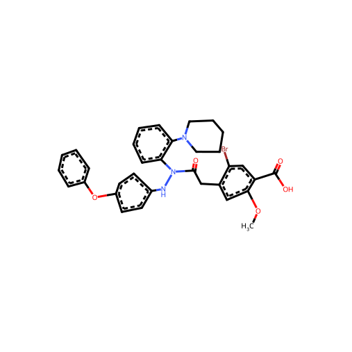 COc1cc(CC(=O)N(Nc2ccc(Oc3ccccc3)cc2)c2ccccc2N2CCCCC2)c(Br)cc1C(=O)O